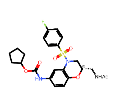 CC(=O)NC[C@H]1CN(S(=O)(=O)c2ccc(F)cc2)c2cc(NC(=O)OC3CCCC3)ccc2O1